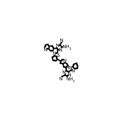 N#Cc1nc(-c2ccc3ncc(-c4cccc5nc(-c6nc(N)c(C#N)nc6-c6ccc7ncccc7c6)sc45)cc3c2)c(-c2nc3ccccc3[nH]2)nc1N